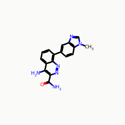 Cn1cnc2cc(-c3cccc4c(N)c(C(N)=O)nnc34)ccc21